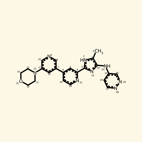 Cc1[nH]c(-c2cc(-c3cncc(N4CCOCC4)c3)ccn2)nc1Nc1ccnnc1